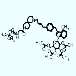 CC(=O)OC[C@H]1O[C@@H](n2cc(Cc3ccc(C/C=C/CN4CCCC5(CCN(C(=O)CNC(=O)OC(C)(C)C)CC5)C4)cc3)c3c(C)cccc32)[C@H](OC(C)=O)[C@@H](OC(C)=O)[C@@H]1OC(C)=O